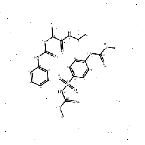 CCNC(=O)C(C)OC(=O)Nc1ccccc1.COC(=O)Nc1ccc(S(=O)(=O)NC(=O)OC)cc1